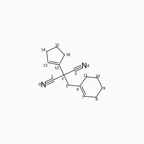 N#CC(C#N)(CC1=CCCCC1)C1=CCCC1